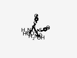 COc1ccc(CSCCN(CCC(N)C(=O)O)CCN(CCSCc2ccc(OC)cc2)CCC(N)C(=O)O)cc1